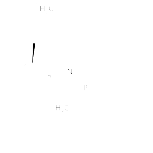 CCCCN(P1c2ccccc2CCCC1C)P1[C@H](c2ccccc2)CC[C@H]1c1ccccc1